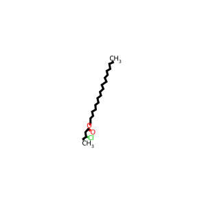 CCCCCCCCCCCCCCCCCCCCOC(=O)CC(Cl)CC